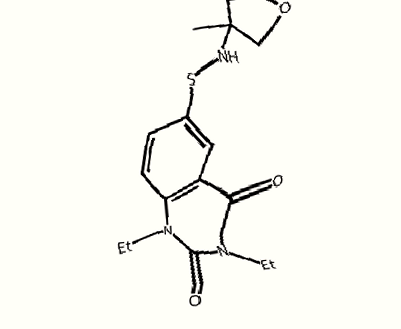 CCn1c(=O)c2cc(SNC3(C)CCOC3)ccc2n(CC)c1=O